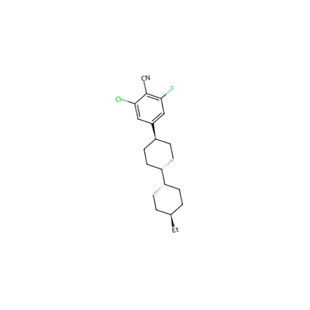 CC[C@H]1CC[C@H]([C@H]2CC[C@H](c3cc(F)c(C#N)c(Cl)c3)CC2)CC1